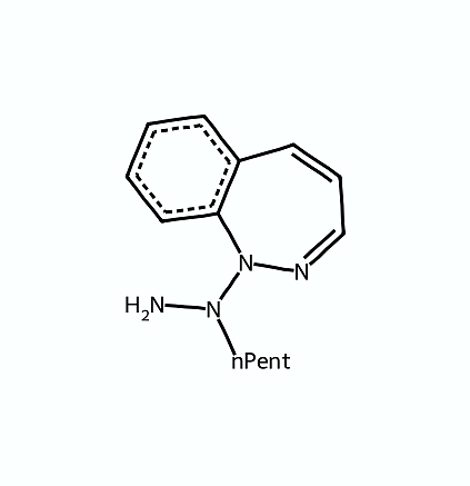 CCCCCN(N)N1N=CC=Cc2ccccc21